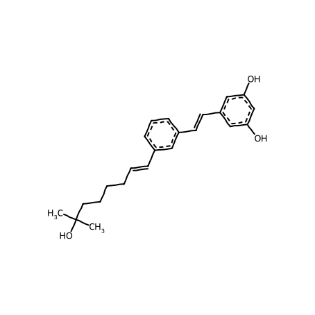 CC(C)(O)CCCC/C=C/c1cccc(/C=C/c2cc(O)cc(O)c2)c1